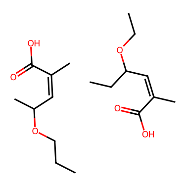 CCCOC(C)C=C(C)C(=O)O.CCOC(C=C(C)C(=O)O)CC